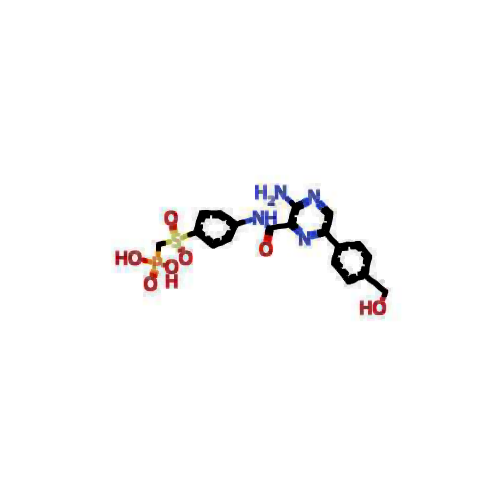 Nc1ncc(-c2ccc(CO)cc2)nc1C(=O)Nc1ccc(S(=O)(=O)CP(=O)(O)O)cc1